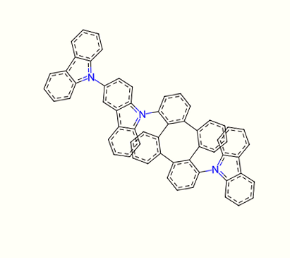 c1ccc2c(c1)-c1cccc(-n3c4ccccc4c4cc(-n5c6ccccc6c6ccccc65)ccc43)c1-c1ccccc1-c1cccc(-n3c4ccccc4c4ccccc43)c1-2